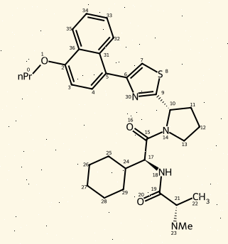 CCCOc1ccc(-c2csc([C@@H]3CCCN3C(=O)[C@@H](NC(=O)[C@H](C)NC)C3CCCCC3)n2)c2ccccc12